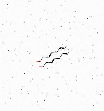 CC/C=C/C/C=C/CCO.CC/C=C/C/C=C/CCO